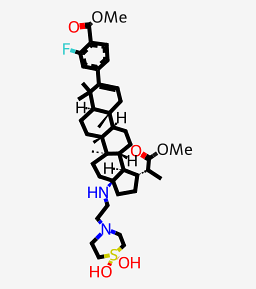 COC(=O)c1ccc(C2=CC[C@]3(C)[C@H]4CC[C@@H]5[C@H]6[C@H](C(C)C(=O)OC)CC[C@]6(NCCN6CCS(O)(O)CC6)CC[C@@]5(C)[C@]4(C)CC[C@H]3C2(C)C)cc1F